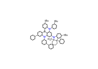 CC(C)(C)c1cccc(N2c3cc(C(C)(C)C)ccc3B3c4ccc(-c5ccccc5)cc4N(c4cccc(-c5ccccc5)c4)c4cc(N5c6ccc(C(C)(C)C)cc6C6(c7ccccc7)CCCCC56C)cc2c43)c1